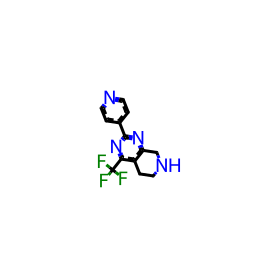 FC(F)(F)c1nc(-c2ccncc2)nc2c1CCNC2